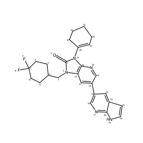 O=c1n(CC2CCC(F)(F)CC2)c2cc(-c3cnc4[nH]ccc4c3)cnc2n1C1=CCCCC1